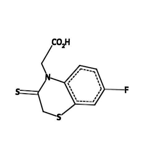 O=C(O)CN1C(=S)CSc2cc(F)ccc21